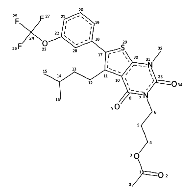 CC(=O)OCCCn1c(=O)c2c(CCC(C)C)c(-c3cccc(OC(F)(F)F)c3)sc2n(C)c1=O